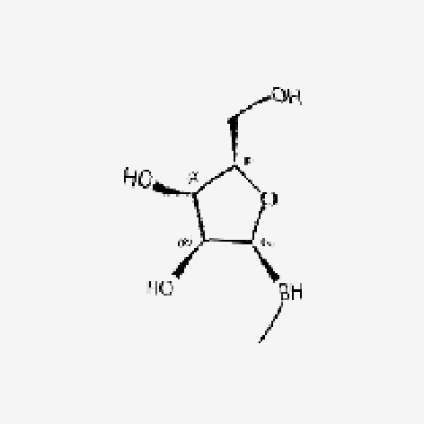 CB[C@@H]1O[C@H](CO)[C@H](O)[C@@H]1O